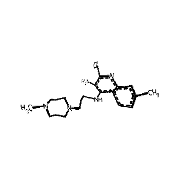 Cc1ccc2c(NCCN3CCN(C)CC3)c(N)c(Cl)nc2c1